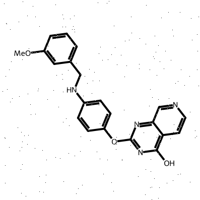 COc1cccc(CNc2ccc(Oc3nc(O)c4ccncc4n3)cc2)c1